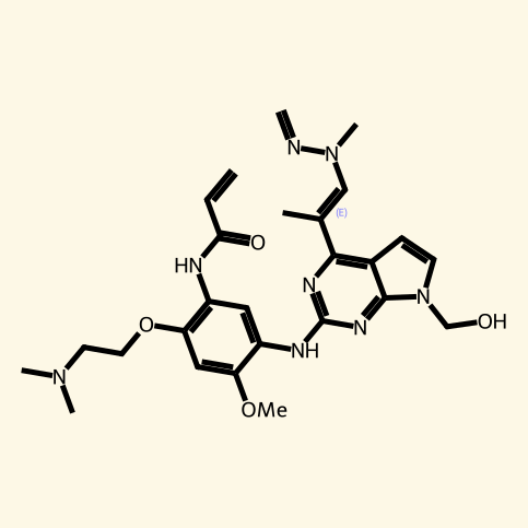 C=CC(=O)Nc1cc(Nc2nc(/C(C)=C/N(C)N=C)c3ccn(CO)c3n2)c(OC)cc1OCCN(C)C